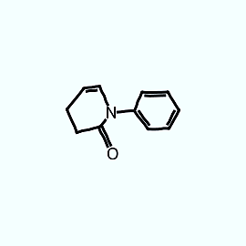 O=C1CCC=CN1c1ccccc1